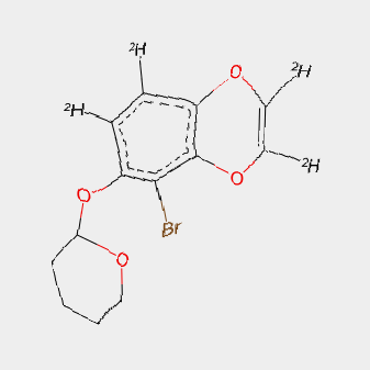 [2H]C1=C([2H])Oc2c(Br)c(OC3CCCCO3)c([2H])c([2H])c2O1